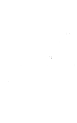 Cc1ccc(-c2cccc(CO)c2)nc1COC=O